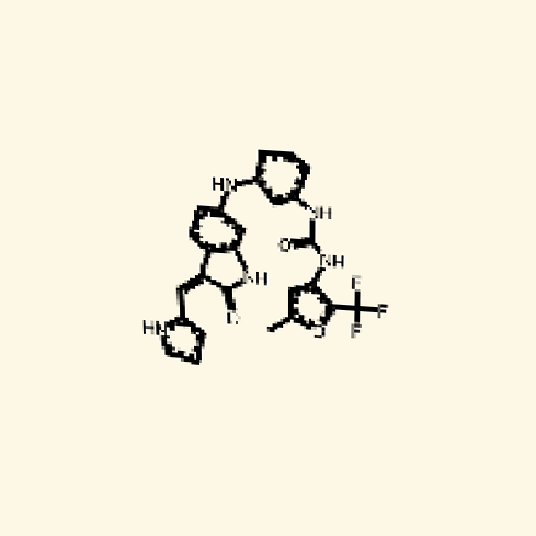 Cc1cc(NC(=O)Nc2cccc(Nc3ccc4c(c3)NC(=O)/C4=C\c3ccc[nH]3)c2)c(C(F)(F)F)o1